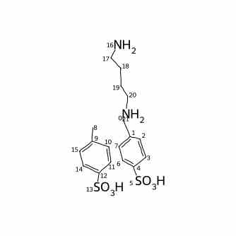 Cc1ccc(S(=O)(=O)O)cc1.Cc1ccc(S(=O)(=O)O)cc1.NCCCCN